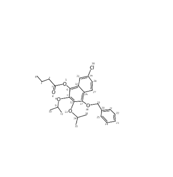 CCCC(=O)Oc1c(OC(C)C)c(OC(C)C)c(OCc2ccccc2)c2ccc(Cl)cc12